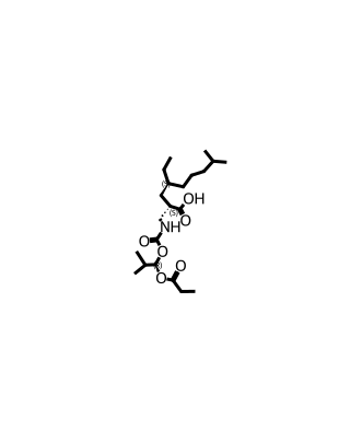 CCC(=O)O[C@H](OC(=O)NC[C@H](C[C@@H](CC)CCCC(C)C)C(=O)O)C(C)C